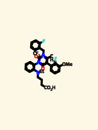 CCN(CCCC(=O)O)c1ccccc1-n1c(=O)c(-c2cccc(OC)c2F)c(C)n(Cc2c(F)cccc2C(F)(F)F)c1=O